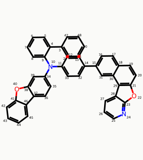 c1ccc(-c2ccccc2N(c2ccc(-c3ccc4ccc5oc6ncccc6c5c4c3)cc2)c2ccc3c(c2)oc2ccccc23)cc1